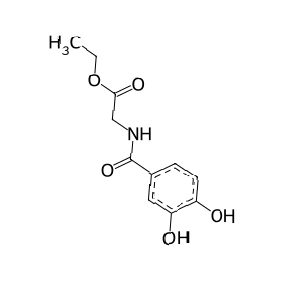 CCOC(=O)CNC(=O)c1ccc(O)c(O)c1